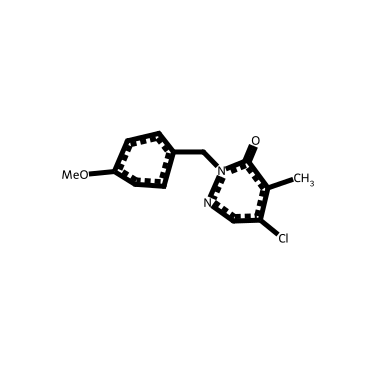 COc1ccc(Cn2ncc(Cl)c(C)c2=O)cc1